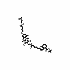 CNCCNC(=O)CCCOc1cc(C)c(S(=O)(=O)N[C@@H](CNC(=O)CCCCc2ccc3c(n2)CCCC3C(=O)OC(C)(C)C)C(=O)OC)c(C)c1